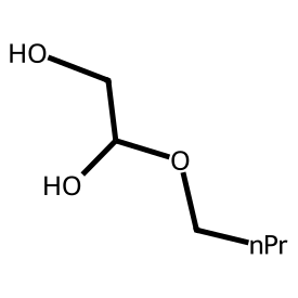 CCCCOC(O)CO